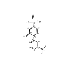 CN(C)c1cccc(-n2ccc(C(F)(F)F)cc2=O)c1